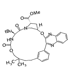 COC(=O)[C@@H]1C[C@@H]2CN1C(=O)[C@H](C(C)(C)C)NC(=O)OCC(C)(C)CCc1cccc(c1)-c1nc3ccccc3nc1O2